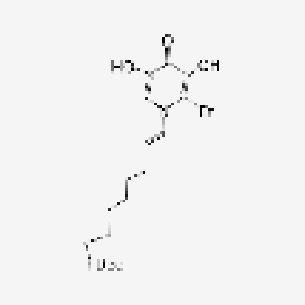 CCCCCCCCCCCCCCCCC=Cn1cc(O)c(=O)c(O)c1CC